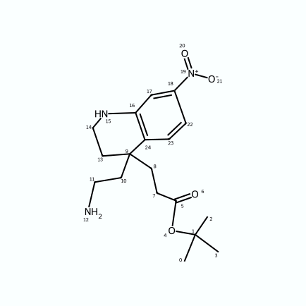 CC(C)(C)OC(=O)CCC1(CCN)CCNc2cc([N+](=O)[O-])ccc21